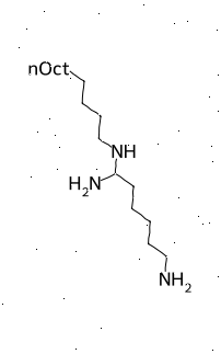 CCCCCCCCCCCCNC(N)CCCCCN